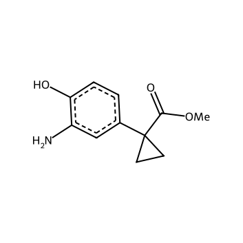 COC(=O)C1(c2ccc(O)c(N)c2)CC1